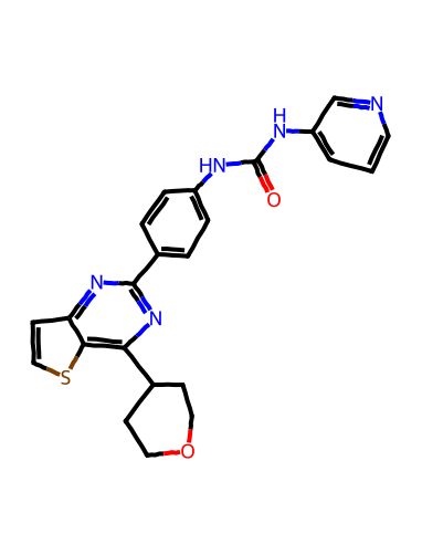 O=C(Nc1ccc(-c2nc(C3CCOCC3)c3sccc3n2)cc1)Nc1cccnc1